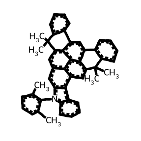 Cc1cccc(C)c1-n1c2ccccc2c2c3cc4c5c(cc6c7c(cc(cc21)c3c75)C(C)(C)c1ccccc1-6)-c1ccccc1C4(C)C